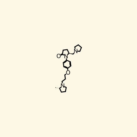 C[C@H]1CCCN1CCCOc1ccc(N2C(=O)CC[C@H]2CN2CCCC2)cc1